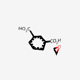 C1CO1.O=C(O)c1cccc(C(=O)O)c1